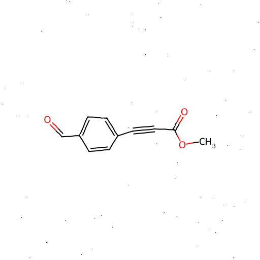 COC(=O)C#Cc1ccc(C=O)cc1